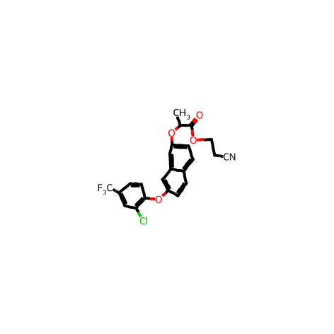 CC(Oc1ccc2ccc(Oc3ccc(C(F)(F)F)cc3Cl)cc2c1)C(=O)OCCC#N